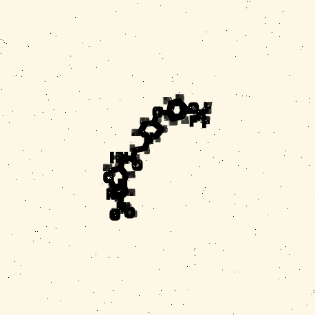 O=C(CCN1CCC(Oc2ccc(OC(F)(F)F)cc2)CC1)NC1COc2nc([N+](=O)[O-])cn2C1